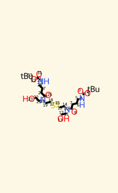 CC(C)(C)OC(=O)NCCCC(=O)N(CCO)CCSSCCN(CCO)C(=O)CCCNC(=O)OC(C)(C)C